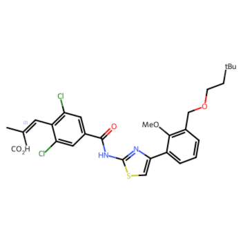 COc1c(COCCC(C)(C)C)cccc1-c1csc(NC(=O)c2cc(Cl)c(/C=C(/C)C(=O)O)c(Cl)c2)n1